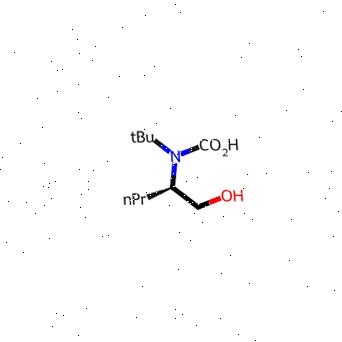 CCC[C@H](CO)N(C(=O)O)C(C)(C)C